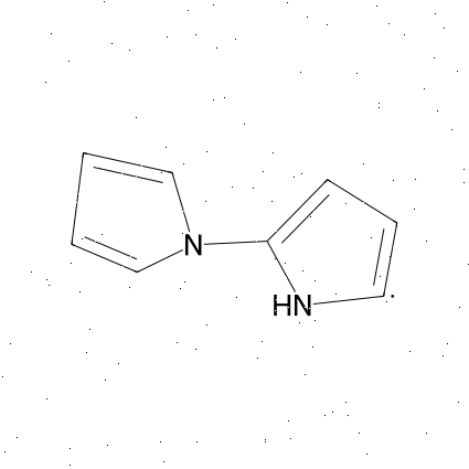 [c]1ccc(-n2cccc2)[nH]1